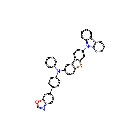 c1ccc(N(c2ccc(-c3ccc4ncoc4c3)cc2)c2ccc3sc4cc(-n5c6ccccc6c6ccccc65)ccc4c3c2)cc1